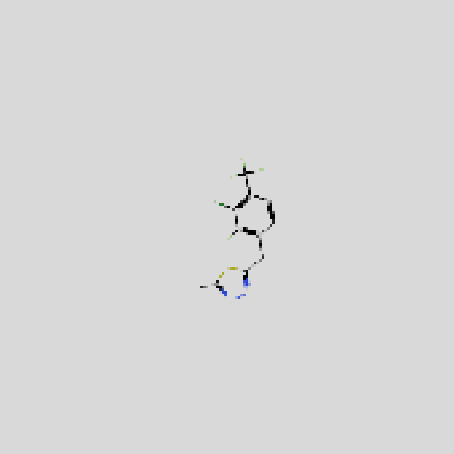 Cc1nnc(Cc2ccc(C(F)(F)F)c(Cl)c2F)s1